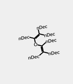 CCCCCCCCCCC(CCCCCCCCCC)=C(CCCCCCCCCC)OC(CCCCCCCCCC)=C(CCCCCCCCCC)CCCCCCCCCC